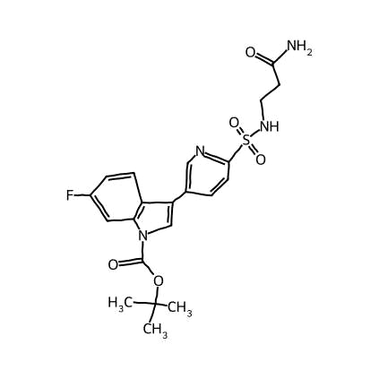 CC(C)(C)OC(=O)n1cc(-c2ccc(S(=O)(=O)NCCC(N)=O)nc2)c2ccc(F)cc21